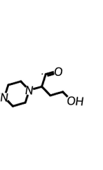 O=[C]C(CCO)N1CCNCC1